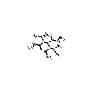 BBB(B)B(B(BB)B(B)B)B(B(B)B)B(C)BB